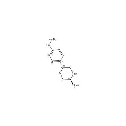 CCCCCC[C@H]1CO[C@H](c2ccc(OCCCC)cc2)CO1